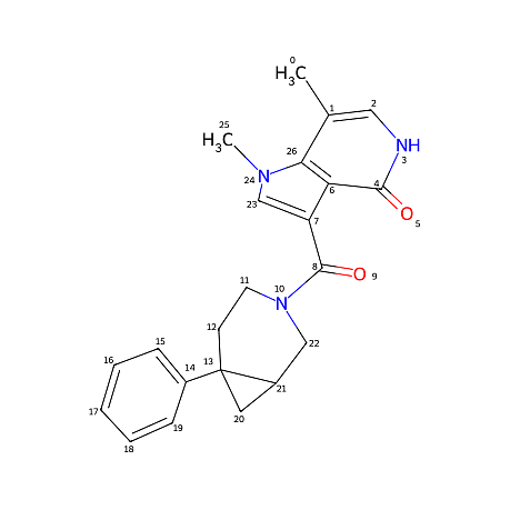 Cc1c[nH]c(=O)c2c(C(=O)N3CCC4(c5ccccc5)CC4C3)cn(C)c12